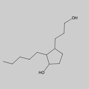 CCCCCC1C(O)CCC1CCCO